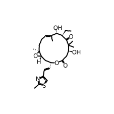 CC[C@H]1C(=O)C(C)(C)[C@@H](O)CC(=O)O[C@H](C=Cc2csc(C)n2)C[C@@H]2O[C@@]2(C)CC/C=C(\C)[C@@H]1O